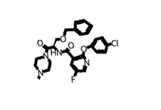 CN1CCN(C(=O)[C@@H](COCc2ccccc2)NC(=O)c2cc(F)cnc2Oc2ccc(Cl)cc2)CC1